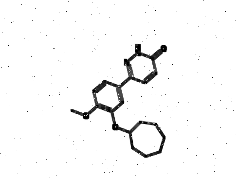 COc1ccc(-c2ccc(=O)[nH]n2)cc1OC1CCCCCC1